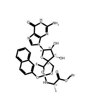 CC(C)OC(=O)[C@H](C)NP(=O)(OC[C@@]1(C(F)F)O[C@@H](n2cnc3c(=O)[nH]c(N)nc32)[C@@H](O)[C@@H]1O)Oc1ccc2ccccc2c1